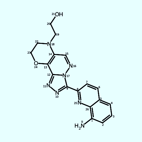 Nc1cccc2ccc(-c3nnc4c5c(cnn34)N(CCO)CCO5)nc12